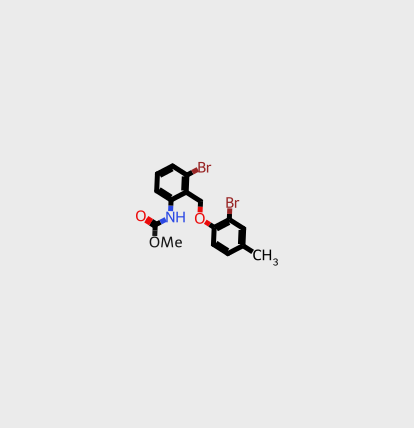 COC(=O)Nc1cccc(Br)c1COc1ccc(C)cc1Br